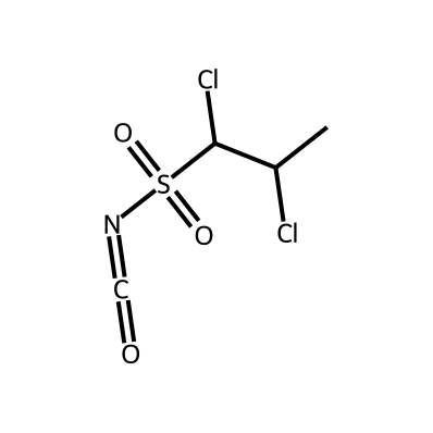 CC(Cl)C(Cl)S(=O)(=O)N=C=O